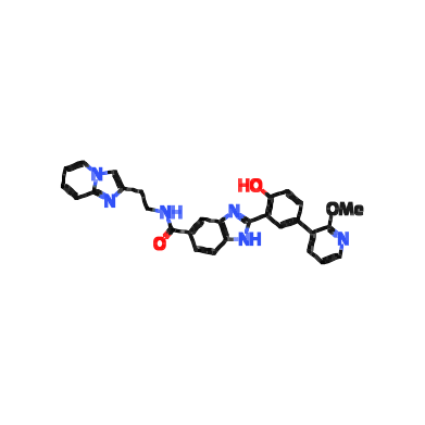 COc1ncccc1-c1ccc(O)c(-c2nc3cc(C(=O)NCCc4cn5ccccc5n4)ccc3[nH]2)c1